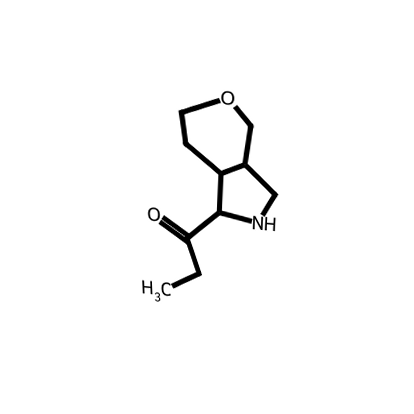 CCC(=O)C1NCC2COCCC21